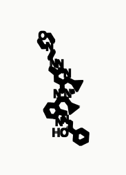 Cn1c(-c2cc3cn(CCN4CCOCC4)nc3nc2C2CC2)nc(-c2cccc3nn(C[C@H](O)c4ccccc4)cc23)c1C1CC1